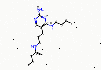 C=C(CCC)NCCCc1cnc(N)nc1NCCCC